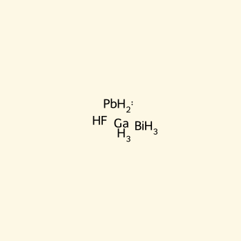 F.[BiH3].[GaH3].[PbH2]